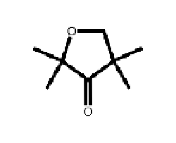 CC1(C)COC(C)(C)C1=O